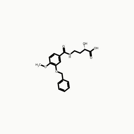 COc1ccc(C(=O)NCC[C@H](O)C(=O)O)cc1OCc1ccccc1